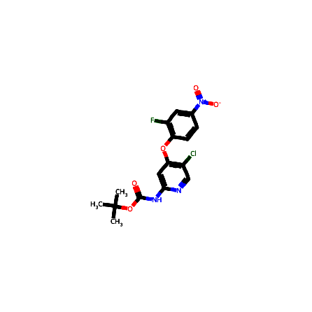 CC(C)(C)OC(=O)Nc1cc(Oc2ccc([N+](=O)[O-])cc2F)c(Cl)cn1